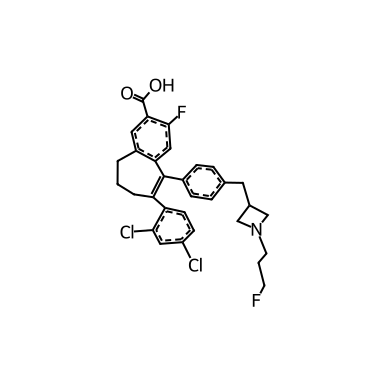 O=C(O)c1cc2c(cc1F)C(c1ccc(CC3CN(CCCF)C3)cc1)=C(c1ccc(Cl)cc1Cl)CCC2